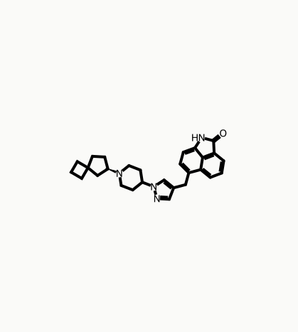 O=C1Nc2ccc(Cc3cnn(C4CCN([C@@H]5CCC6(CCC6)C5)CC4)c3)c3cccc1c23